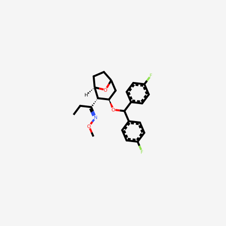 CCC(=NOC)[C@@H]1[C@H]2CCC(C[C@H]1OC(c1ccc(F)cc1)c1ccc(F)cc1)O2